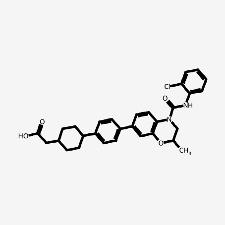 CC1CN(C(=O)Nc2ccccc2Cl)c2ccc(-c3ccc(C4CCC(CC(=O)O)CC4)cc3)cc2O1